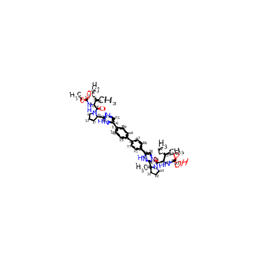 COC(=O)N[C@H](C(=O)N1CCCC1c1ncc(-c2ccc(-c3ccc(-c4cnc([C@]5(C)CCCN5C(=O)[C@@H](NC(=O)O)C(C)C)[nH]4)cc3)cc2)[nH]1)C(C)C